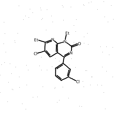 CCc1nc2c(cc1Cl)c(-c1cccc(Cl)c1)nc(=O)n2CC